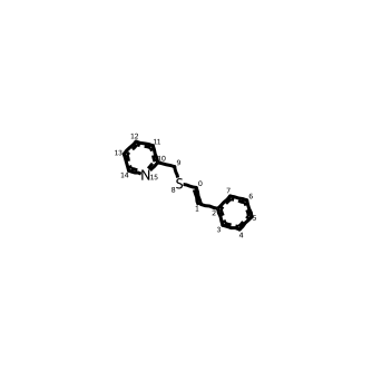 C(=Cc1ccccc1)SCc1ccccn1